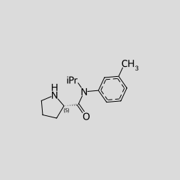 Cc1cccc(N(C(=O)[C@@H]2CCCN2)C(C)C)c1